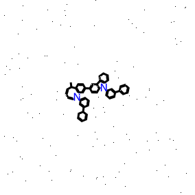 CC1/C=C\C=C/N(c2cccc(C3C=CC=CC3)c2)c2cc(C3=CC4C5=C(C=CCC5)N(c5cccc(-c6ccccc6)c5)C4C=C3)ccc21